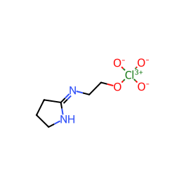 [O-][Cl+3]([O-])([O-])OCCN=C1CCCN1